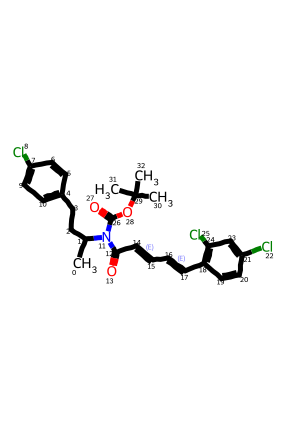 CC(CCc1ccc(Cl)cc1)N(C(=O)/C=C/C=C/c1ccc(Cl)cc1Cl)C(=O)OC(C)(C)C